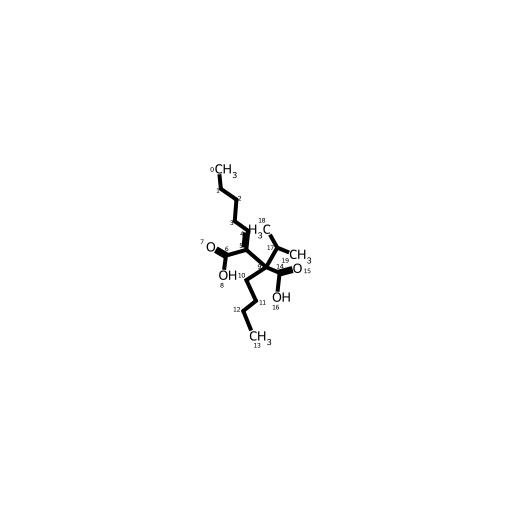 CCCCC=C(C(=O)O)C(CCCC)(C(=O)O)C(C)C